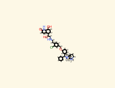 O=C(O)N(C(c1ccccc1)c1cccc(OCc2ccc(CCNC[C@@H](O)c3ccc(O)c4[nH]c(=O)ccc34)c(Cl)c2)c1)[C@H]1CN2CCC1CC2